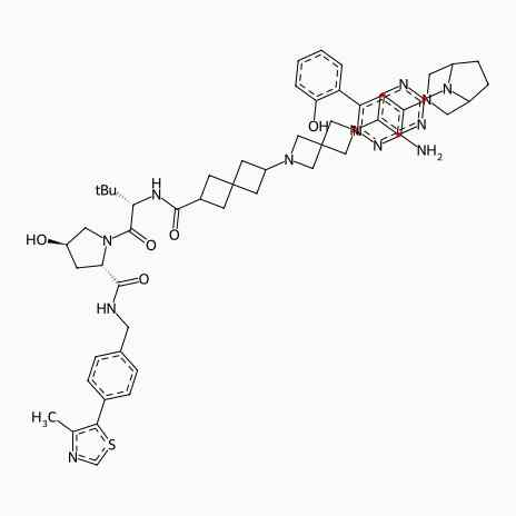 Cc1ncsc1-c1ccc(CNC(=O)[C@@H]2C[C@@H](O)CN2C(=O)[C@@H](NC(=O)C2CC3(C2)CC(N2CC4(CN(c5cnc(N6C7CCC6CN(c6cc(-c8ccccc8O)nnc6N)C7)nc5)C4)C2)C3)C(C)(C)C)cc1